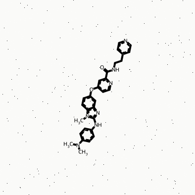 CN(C)c1ccc(Nc2nc3cc(Oc4ccnc(C(=O)NCCc5ccncc5)c4)ccc3n2C)cc1